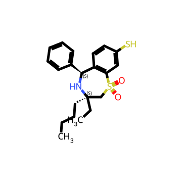 CCCC[C@@]1(CC)CS(=O)(=O)c2cc(S)ccc2[C@H](c2ccccc2)N1